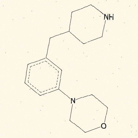 c1cc(CC2CCNCC2)cc(N2CCOCC2)c1